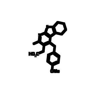 COc1ccc(Cc2c(CC(=O)O)c(C)nc3sc4c(c23)CCCC4)cc1